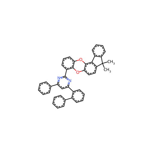 CC1(C)c2ccccc2-c2c1ccc1c2Oc2cccc(-c3nc(-c4ccccc4)cc(-c4ccccc4-c4ccccc4)n3)c2O1